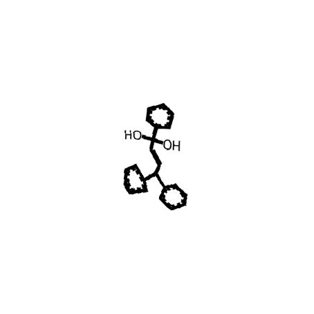 OC(O)(C=CC(c1ccccc1)c1ccccc1)c1ccccc1